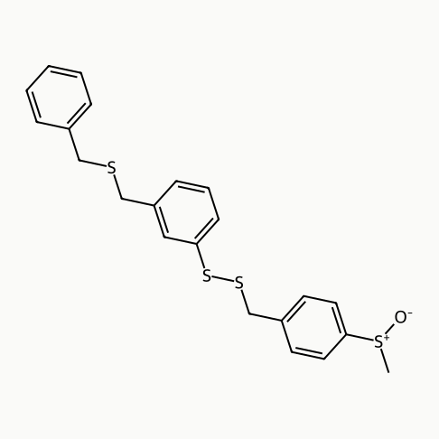 C[S+]([O-])c1ccc(CSSc2cccc(CSCc3ccccc3)c2)cc1